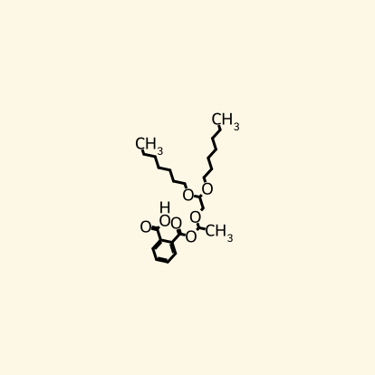 CCCCCCCOC(COC(C)OC(=O)c1ccccc1C(=O)O)OCCCCCCC